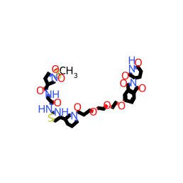 CS(=O)(=O)N1CCC(C(=O)NCC(=O)NC2NC(C3CCCN(C(=O)CCOCCOCCOc4ccc5c(c4)C(=O)N(C4CCC(=O)NC4=O)C5=O)C3)CS2)C1